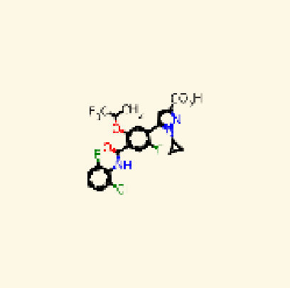 CC(Oc1cc(-c2cc(C(=O)O)nn2C2CC2)c(F)cc1C(=O)Nc1c(F)cccc1Cl)C(F)(F)F